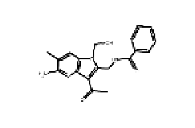 CC(=O)c1c(CNC(=O)c2ccccc2)n(CO)c2cc(C)c(N)nc12